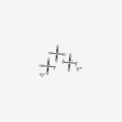 O=S(=O)([O-])[O-].O=S(=O)([O-])[O-].O=S(=O)([O-])[O-].[Cr+3].[Cr+3]